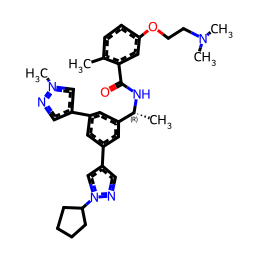 Cc1ccc(OCCN(C)C)cc1C(=O)N[C@H](C)c1cc(-c2cnn(C)c2)cc(-c2cnn(C3CCCC3)c2)c1